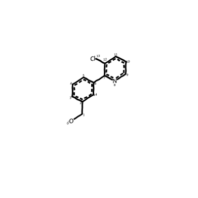 [O]Cc1cccc(-c2ncccc2Cl)c1